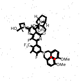 COc1ccc(CN(Cc2ccc(OC)cc2)c2cc(-c3nc4c5c(nc(N6CC[C@@]6(C)CO)nc5c3F)N3C[C@H]5CC[C@@H]([C@H]3CO4)N5C(=O)OC(C)(C)C)c(C(F)(F)F)c(C)c2F)cc1